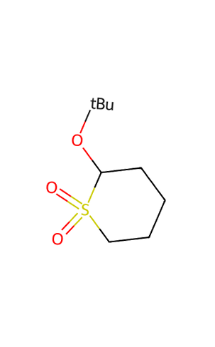 CC(C)(C)OC1CCCCS1(=O)=O